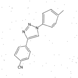 Cc1ccc(-n2cc(-c3ccc(C#N)cc3)nn2)cc1